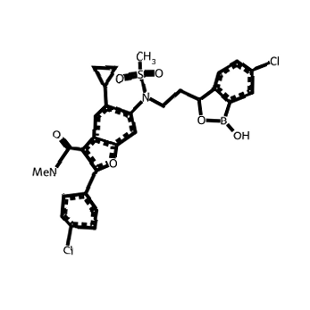 CNC(=O)c1c(-c2ccc(Cl)cc2)oc2cc(N(CCC3OB(O)c4cc(Cl)ccc43)S(C)(=O)=O)c(C3CC3)cc12